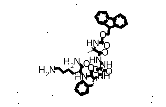 C[C@H](NC(=O)OCC1c2ccccc2-c2ccccc21)C(=O)NNS(=O)(=O)N[C@H](Cc1ccccc1)C(=O)N[C@@H](CCCCN)C(N)=O